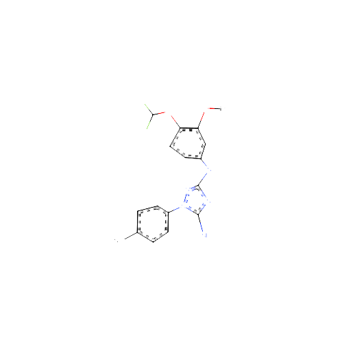 CC(C)Oc1cc(Nc2nc(N)n(-c3ccc(C#N)cc3)n2)ccc1OC(F)F